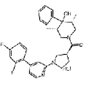 C[C@@H]1CN(C(=O)[C@H]2CCN(c3cc(-c4ccc(F)cc4F)ccn3)C2)C[C@H](C)C1(O)c1ccccc1.Cl